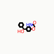 O=C1COc2ccc(C(O)c3ccccc3)cc2N1